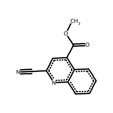 COC(=O)c1cc(C#N)nc2ccccc12